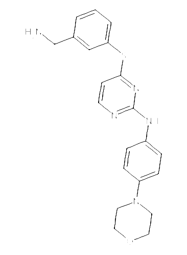 NCc1cccc(Sc2ccnc(Nc3ccc(N4CCOCC4)cc3)n2)c1